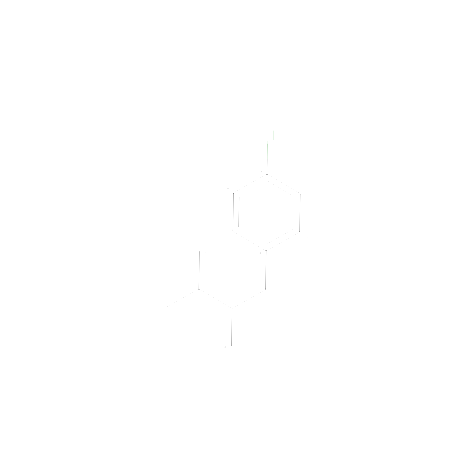 [CH2]C(C)C(C)Cc1ccc(Cl)cc1